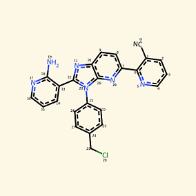 N#Cc1cccnc1-c1ccc2nc(-c3cccnc3N)n(-c3ccc(CCl)cc3)c2n1